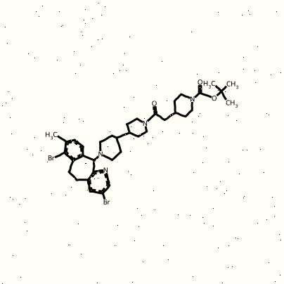 Cc1ccc2c(c1Br)CCc1cc(Br)cnc1C2N1CCC(C2CCN(C(=O)CC3CCN(C(=O)OC(C)(C)C)CC3)CC2)CC1